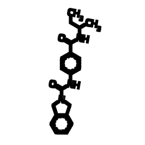 CCC(C)NC(=O)c1ccc(NC(=O)N2Cc3ccccc3C2)cc1